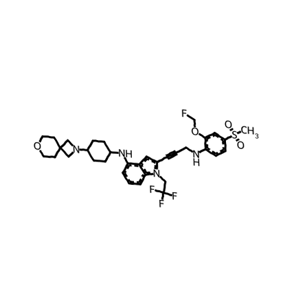 CS(=O)(=O)c1ccc(NCC#Cc2cc3c(NC4CCC(N5CC6(CCOCC6)C5)CC4)cccc3n2CC(F)(F)F)c(OCF)c1